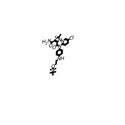 Cc1nc(C(=O)N(c2ccc(NCCO[Si](C)(C)C(C)(C)C)cc2)c2ccc(Cl)cn2)c(C(N)=O)s1